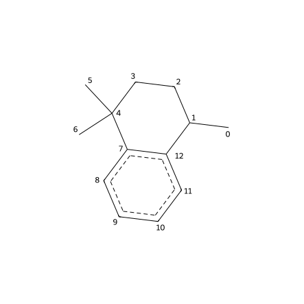 CC1CCC(C)(C)c2ccccc21